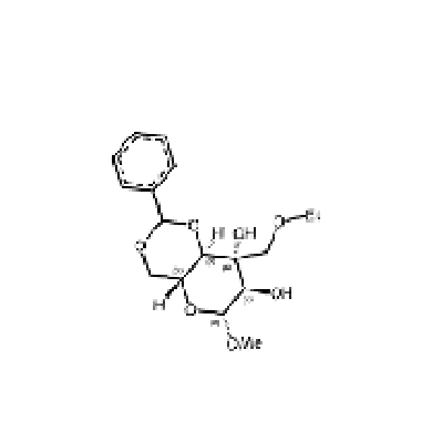 CCOC[C@]1(O)[C@@H]2OC(c3ccccc3)OC[C@H]2O[C@@H](OC)[C@@H]1O